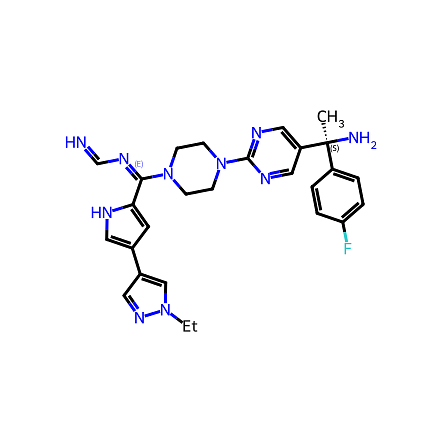 CCn1cc(-c2c[nH]c(/C(=N\C=N)N3CCN(c4ncc([C@@](C)(N)c5ccc(F)cc5)cn4)CC3)c2)cn1